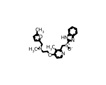 Cc1ccc(CN(C)CCOc2ccnc(C[S+]([O-])c3nc4ccccc4[nH]3)c2C)o1